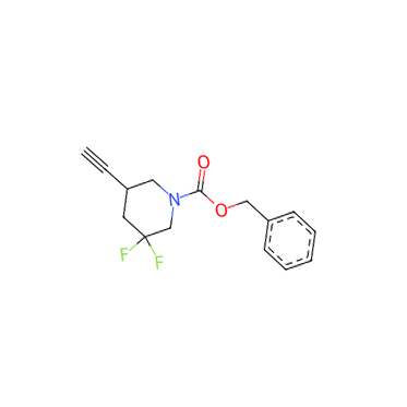 C#CC1CN(C(=O)OCc2ccccc2)CC(F)(F)C1